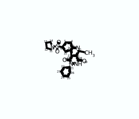 Cc1nc2ccc(S(=O)(=O)N3CCCC3)cc2c2c(=O)n(-c3ccccc3)[nH]c(=O)c12